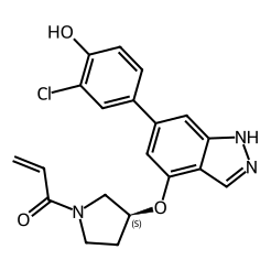 C=CC(=O)N1CC[C@H](Oc2cc(-c3ccc(O)c(Cl)c3)cc3[nH]ncc23)C1